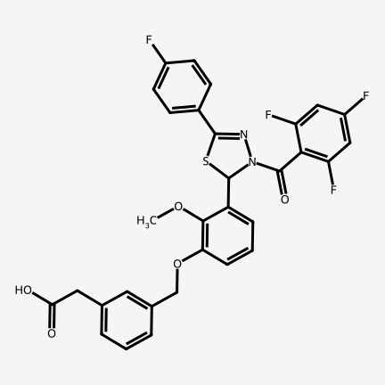 COc1c(OCc2cccc(CC(=O)O)c2)cccc1C1SC(c2ccc(F)cc2)=NN1C(=O)c1c(F)cc(F)cc1F